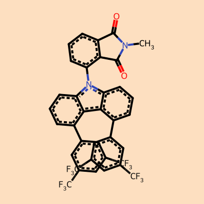 CN1C(=O)c2cccc(-n3c4cccc(-c5cc(C(F)(F)F)cc(C(F)(F)F)c5)c4c4c(-c5cc(C(F)(F)F)cc(C(F)(F)F)c5)cccc43)c2C1=O